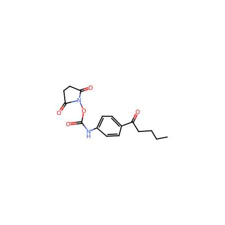 CCCCC(=O)c1ccc(NC(=O)ON2C(=O)CCC2=O)cc1